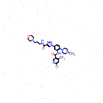 CN1CCN(c2ccc(-n3cc(C(=O)NCCCN4CCOCC4)nn3)cc2NC(=O)c2cnc(Cl)cc2C(F)(F)F)CC1